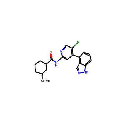 CC(=O)NC1CCCC(C(=O)Nc2cc(-c3cccc4[nH]ncc34)c(F)cn2)C1